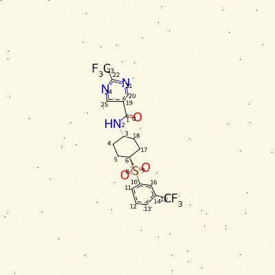 O=C(N[C@H]1CC[C@H](S(=O)(=O)c2cccc(C(F)(F)F)c2)CC1)c1cnc(C(F)(F)F)nc1